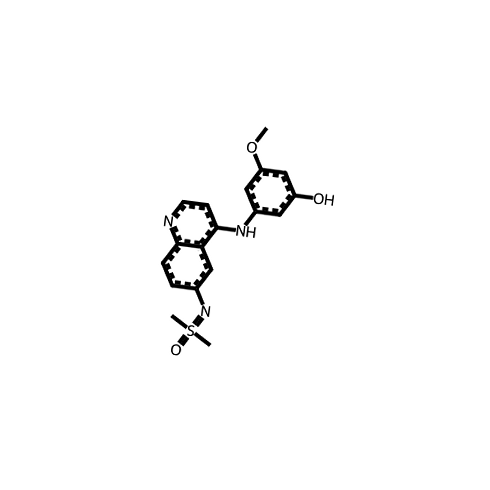 COc1cc(O)cc(Nc2ccnc3ccc(N=S(C)(C)=O)cc23)c1